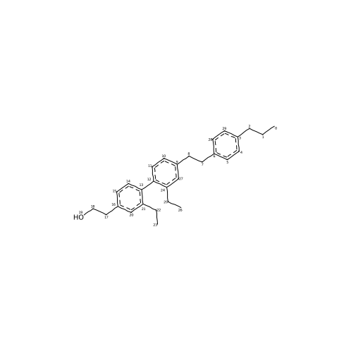 CCCc1ccc(CCc2ccc(-c3ccc(CCO)cc3CC)c(CC)c2)cc1